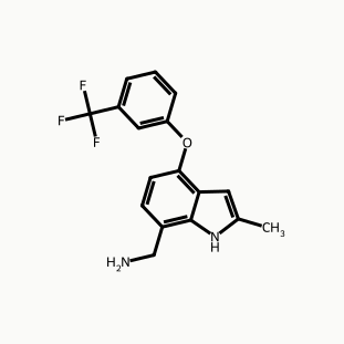 Cc1cc2c(Oc3cccc(C(F)(F)F)c3)ccc(CN)c2[nH]1